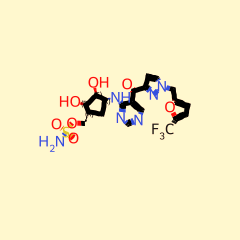 NS(=O)(=O)OC[C@H]1C[C@@H](Nc2ncncc2C(=O)c2ccn(Cc3ccc(C(F)(F)F)o3)n2)[C@H](O)[C@@H]1O